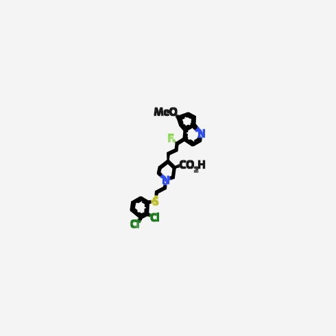 COc1ccc2nccc([C@@H](F)CC[C@@H]3CCN(CCSc4cccc(Cl)c4Cl)C[C@@H]3C(=O)O)c2c1